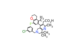 Cc1nc2c(c(-c3cc(F)c4c(c3C)CCCO4)c1CC(=O)O)CN(Cc1cccc(Cl)c1)CC2(C)C